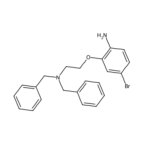 Nc1ccc(Br)cc1OCCN(Cc1ccccc1)Cc1ccccc1